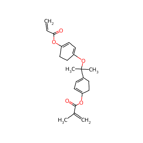 C=CC(=O)OC1=CC=C(OC(C)(C)C2=CC=C(OC(=O)C(=C)C)CC2)CC1